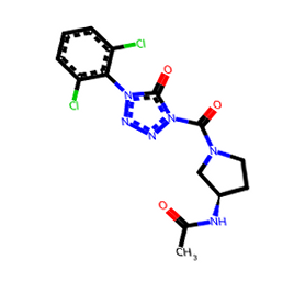 CC(=O)N[C@@H]1CCN(C(=O)n2nnn(-c3c(Cl)cccc3Cl)c2=O)C1